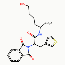 CCOC(=O)C(CCCCO)NC(=O)C(Cc1ccsc1)N1C(=O)c2ccccc2C1=O